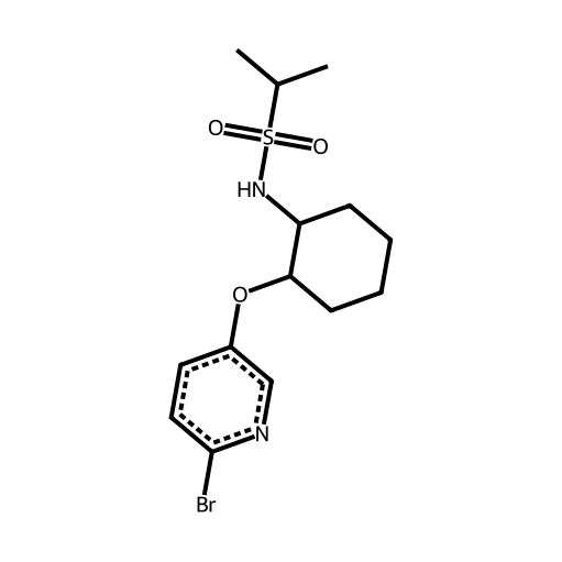 CC(C)S(=O)(=O)NC1CCCCC1Oc1ccc(Br)nc1